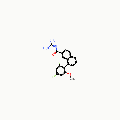 COc1cc(F)cc(F)c1-c1cccc2ccc(C(=O)N=C(N)N)cc12